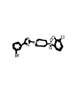 O=S(=O)(c1cccc(Cl)c1Cl)C1CCN(c2nc(-c3cccc(Br)c3)cs2)CC1